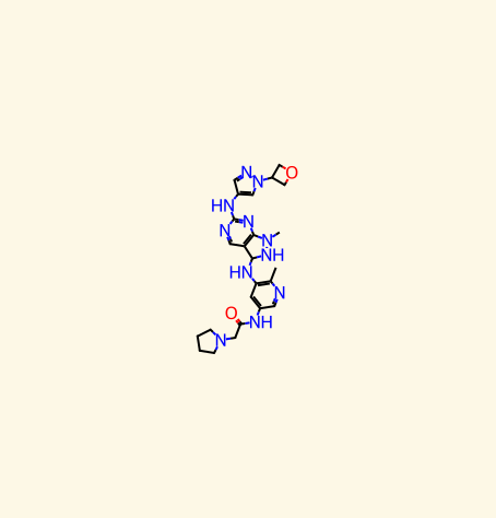 Cc1ncc(NC(=O)CN2CCCC2)cc1NC1NN(C)c2nc(Nc3cnn(C4COC4)c3)ncc21